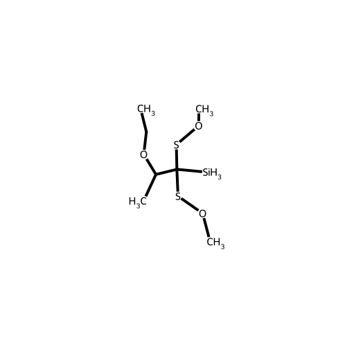 CCOC(C)C([SiH3])(SOC)SOC